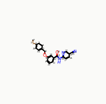 CSc1ccc(COc2cccc(C(=O)Nc3ccc(C#N)cn3)c2)cc1